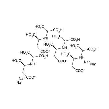 O=C([O-])C[C@H](NC(C(=O)O)C(=O)O)C(=O)O.O=C([O-])C[C@H](NC(C(=O)O)C(=O)O)C(=O)O.O=C([O-])C[C@H](NC(C(=O)O)C(=O)O)C(=O)O.O=C([O-])C[C@H](NC(C(=O)O)C(=O)O)C(=O)O.[Na+].[Na+].[Na+].[Na+]